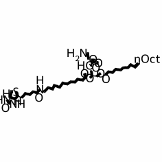 CCCCCCCC/C=C\CCCCCCCC(=O)OC[C@H](COP(=O)(O)OCCN)OC(=O)CCCCCCCCCCCNC(=O)CCCC[C@@H]1SC[C@@H]2NC(=O)N[C@@H]21